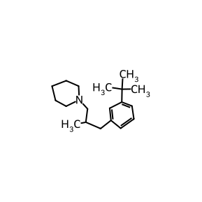 CC(Cc1cccc(C(C)(C)C)c1)CN1CCCCC1